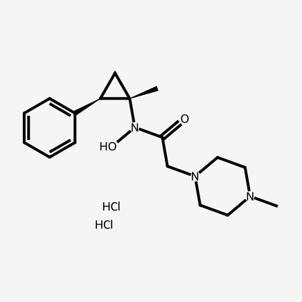 CN1CCN(CC(=O)N(O)[C@@]2(C)C[C@@H]2c2ccccc2)CC1.Cl.Cl